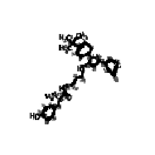 CC(C)(C)c1ccc(-n2nc(-c3cccnc3)cc2NCCCNC(=O)[C@@H](N)Cc2ccc(O)cc2)cc1